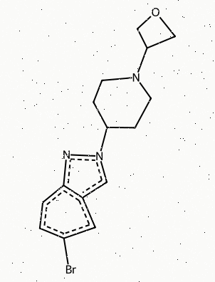 Brc1ccc2nn(C3CCN(C4COC4)CC3)cc2c1